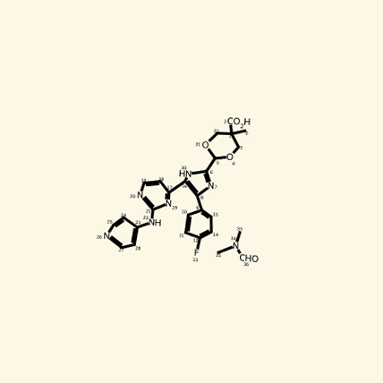 CC1(C(=O)O)COC(c2nc(-c3ccc(F)cc3)c(-c3ccnc(Nc4ccncc4)n3)[nH]2)OC1.CN(C)C=O